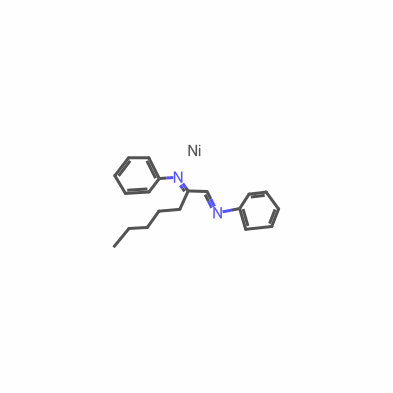 CCCCCC(/C=N/c1ccccc1)=N\c1ccccc1.[Ni]